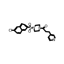 O=C(CCc1ccncc1)N1CCN(S(=O)(=O)c2ccc3cc(Cl)ccc3c2)CC1